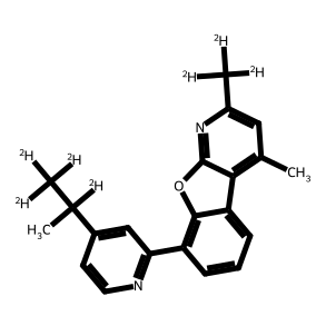 [2H]C([2H])([2H])c1cc(C)c2c(n1)oc1c(-c3cc(C([2H])(C)C([2H])([2H])[2H])ccn3)cccc12